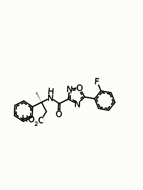 C[C@@](CC(=O)O)(NC(=O)c1noc(-c2ccccc2F)n1)c1ccccc1